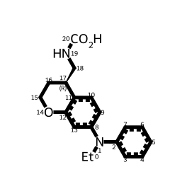 CCN(c1ccccc1)c1ccc2c(c1)OCC[C@H]2CNC(=O)O